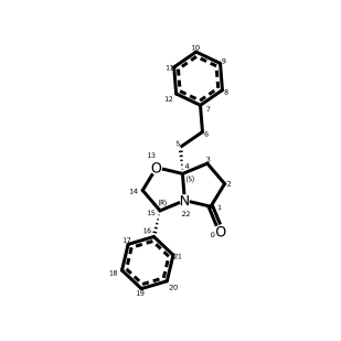 O=C1CC[C@]2(CCc3ccccc3)OC[C@@H](c3ccccc3)N12